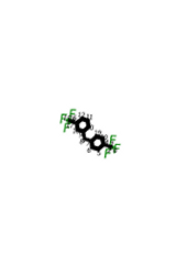 FC(F)(F)c1ccc([CH]c2cccc(C(F)(F)F)c2)cc1